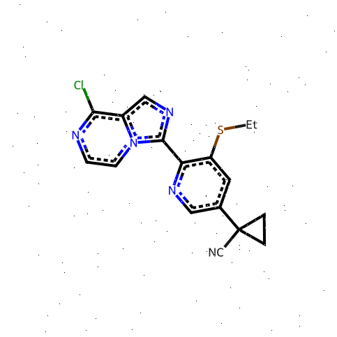 CCSc1cc(C2(C#N)CC2)cnc1-c1ncc2c(Cl)nccn12